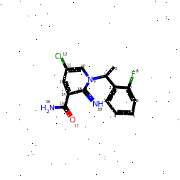 CC(c1ccccc1F)n1cc(Cl)cc(C(N)=O)c1=N